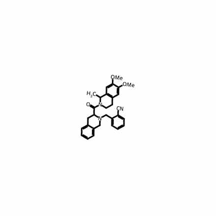 COc1cc2c(cc1OC)C(C)N(C(=O)C1Cc3ccccc3CN1Cc1ccccc1C#N)CC2